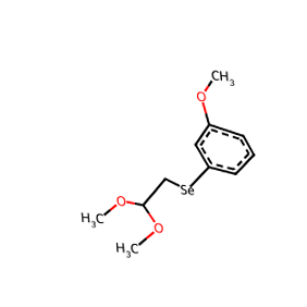 COc1cccc([Se]CC(OC)OC)c1